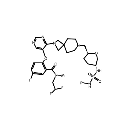 CC(C)NS(=O)(=O)N[C@@H]1CC[C@@H](CN2CCC3(CC2)CN(c2ncncc2Oc2ccc(F)cc2C(=O)N(CC(F)F)C(C)C)C3)OC1